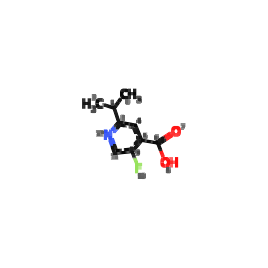 CC(C)c1cc(C(=O)O)c(F)cn1